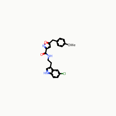 COc1ccc(Cc2cc(C(=O)NCCc3c[nH]c4ccc(Cl)cc34)no2)cc1